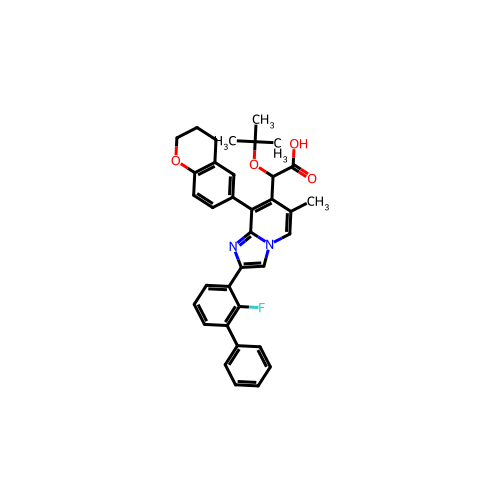 Cc1cn2cc(-c3cccc(-c4ccccc4)c3F)nc2c(-c2ccc3c(c2)CCCO3)c1C(OC(C)(C)C)C(=O)O